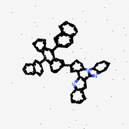 c1ccc2cc(-c3c4ccccc4c(-c4ccc5ccccc5c4)c4cc(-c5ccc6c(c5)c5nc7ccccc7cc5c5nc7ccccc7n65)ccc34)ccc2c1